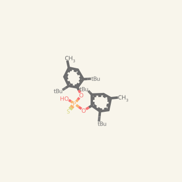 Cc1cc(C(C)(C)C)c(OP(O)(=S)Oc2c(C(C)(C)C)cc(C)cc2C(C)(C)C)c(C(C)(C)C)c1